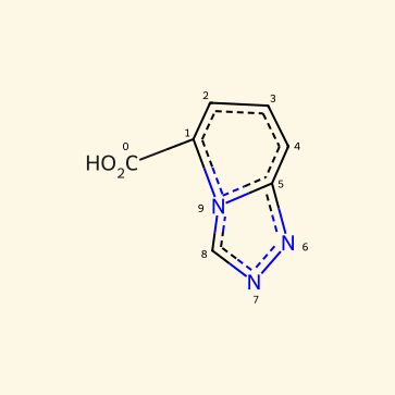 O=C(O)c1cccc2nncn12